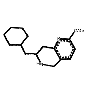 COc1ccc2c(n1)CC(CC1CCCCC1)NC2